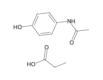 CC(=O)Nc1ccc(O)cc1.CCC(=O)O